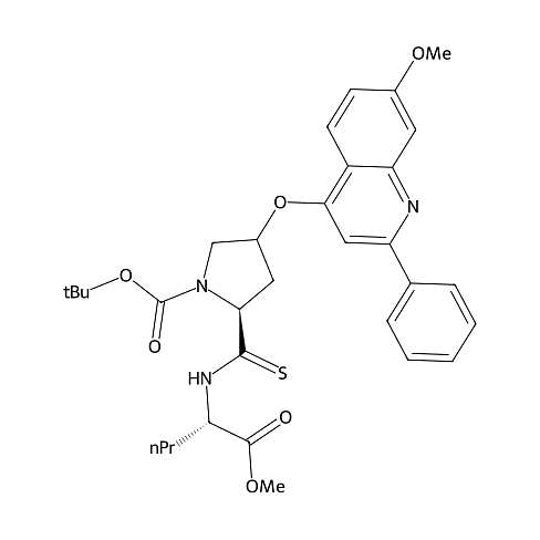 CCC[C@H](NC(=S)[C@@H]1CC(Oc2cc(-c3ccccc3)nc3cc(OC)ccc23)CN1C(=O)OC(C)(C)C)C(=O)OC